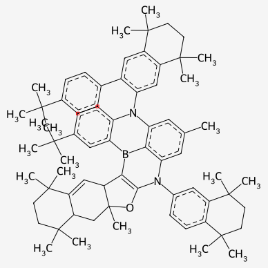 Cc1cc2c3c(c1)N(c1cc4c(cc1-c1ccc(C(C)(C)C)cc1)C(C)(C)CCC4(C)C)c1ccc(C(C)(C)C)cc1B3C1=C(OC3(C)CC4C(=CC13)C(C)(C)CCC4(C)C)N2c1ccc2c(c1)C(C)(C)CCC2(C)C